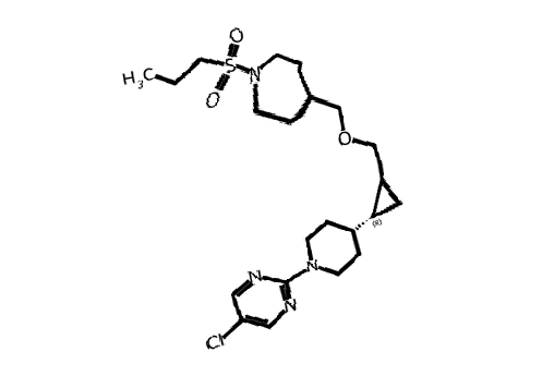 CCCS(=O)(=O)N1CCC(COCC2C[C@@H]2C2CCN(c3ncc(Cl)cn3)CC2)CC1